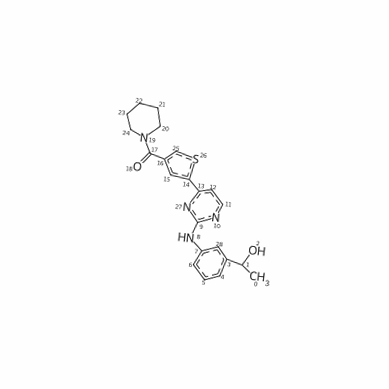 CC(O)c1cccc(Nc2nccc(-c3cc(C(=O)N4CCCCC4)cs3)n2)c1